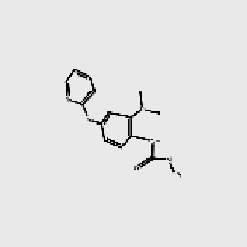 CC(C)NC(=O)Nc1ccc(Sc2ccccn2)cc1P(C)C